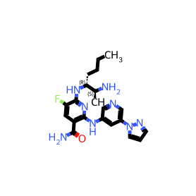 CCCC[C@@H](Nc1nc(Nc2cncc(-n3cccn3)c2)c(C(N)=O)cc1F)[C@H](C)N